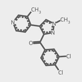 Cc1cnccc1-c1cn(C)nc1C(=O)c1ccc(Cl)c(Cl)c1